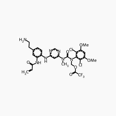 C=CC(=O)Nc1cc(CCN)ccc1Nc1cc(N(C)C(=O)N(COC(=O)C(F)(F)F)c2c(Cl)c(OC)cc(OC)c2Cl)ncn1